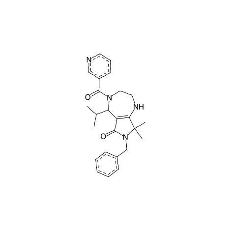 CC(C)C1C2=C(NCCN1C(=O)c1cccnc1)C(C)(C)N(Cc1ccccc1)C2=O